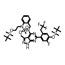 CC(C)(C)[Si](C)(C)OCCN(c1ccccc1CNc1nc(-c2cc(F)c(O[Si](C)(C)C(C)(C)C)cc2CC(F)(F)F)nc2[nH]nc(I)c12)S(C)(=O)=O